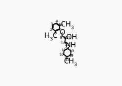 Cc1c[c]cc(C)c1OCC(O)CNC1CCC(C)CC1